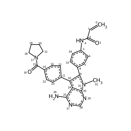 C=CC(=O)Nc1ccc(-c2c(-c3ccc(C(=O)N4CCCC4)cc3)c3c(N)ncnc3n2C)cc1